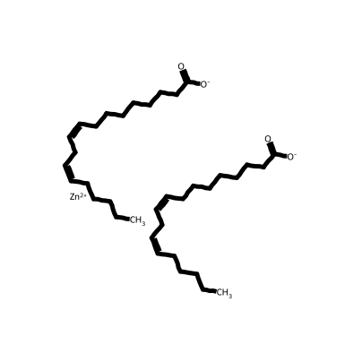 CCCCC/C=C\C/C=C\CCCCCCCC(=O)[O-].CCCCC/C=C\C/C=C\CCCCCCCC(=O)[O-].[Zn+2]